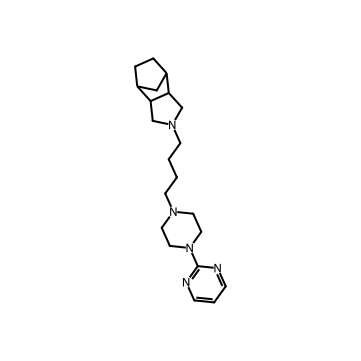 c1cnc(N2CCN(CCCCN3CC4C5CCC(C5)C4C3)CC2)nc1